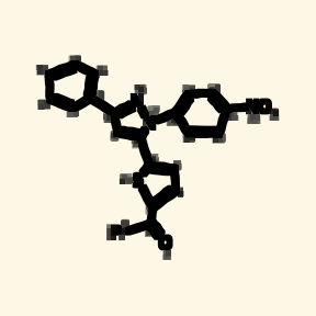 CC(C)C(=O)c1ccc(-c2cc(-c3ccccc3)nn2-c2ccc([N+](=O)[O-])cc2)s1